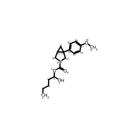 CCCCC(O)OC(=O)N1CC2CC2(c2ccc(OC)cc2)C1